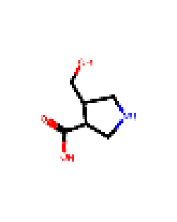 O=C(O)C1CNCC1CO